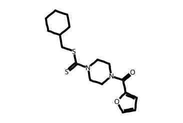 O=C(c1ccco1)N1CCN(C(=S)SCC2CCCCC2)CC1